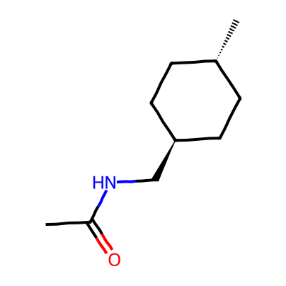 CC(=O)NC[C@H]1CC[C@H](C)CC1